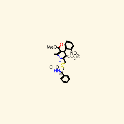 CCOC(=O)C1=C(CSC[C@@H](NC=O)c2ccccc2)NC(C)=C(C(=O)OC)C1c1ccccc1[N+](=O)[O-]